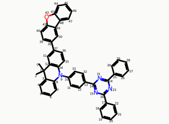 CC1(C)c2ccccc2N(c2ccc(-c3nc(-c4ccccc4)nc(-c4ccccc4)n3)cc2)c2ccc(-c3ccc4oc5ccccc5c4c3)cc21